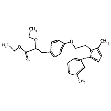 CCOC(=O)C(Cc1ccc(OCCn2c(C)ccc2-c2cccc(C)c2)cc1)OCC